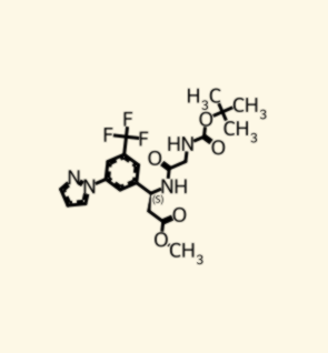 COC(=O)C[C@H](NC(=O)CNC(=O)OC(C)(C)C)c1cc(-n2cccn2)cc(C(F)(F)F)c1